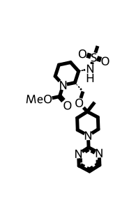 COC(=O)N1CCC[C@H](NS(C)(=O)=O)[C@@H]1COC1(C)CCN(c2ncccn2)CC1